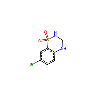 O=S1(=O)NCNc2ccc(Br)cc21